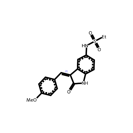 CCS(=O)(=O)Nc1ccc2c(c1)/C(=C/c1ccc(OC)cc1)C(=O)N2